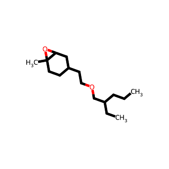 CCCC(CC)COCCC1CCC2(C)OC2C1